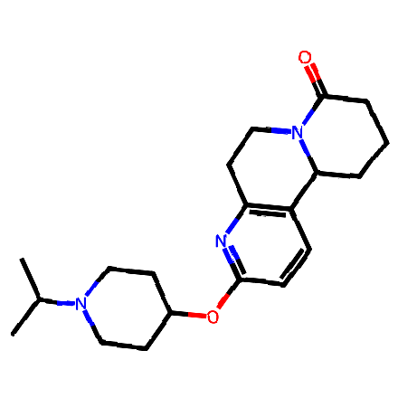 CC(C)N1CCC(Oc2ccc3c(n2)CCN2C(=O)CCCC32)CC1